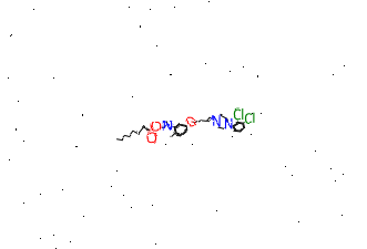 CCCCCCCC(=O)OCN(C)c1cc(OCCCCN2CCN(c3cccc(Cl)c3Cl)CC2)ccc1C